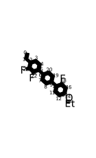 C=Cc1ccc(-c2ccc(-c3ccc(OCC)cc3F)cc2)c(F)c1F